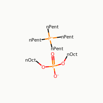 CCCCCCCCOP(=O)([O-])OCCCCCCCC.CCCCC[P+](CCCCC)(CCCCC)CCCCC